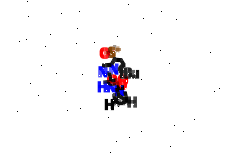 C[S+]([O-])c1cccn2c(C(C)(C)NC(=O)C3[C@@H]4C[C@H]3CN(C(=O)OC(C)(C)C)C4)ncc12